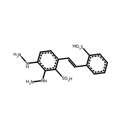 NNc1ccc(C=Cc2ccccc2S(=O)(=O)O)c(S(=O)(=O)O)c1NN